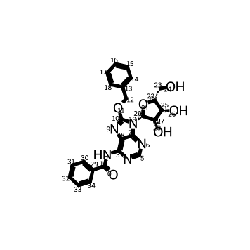 O=C(Nc1ncnc2c1nc(OCc1ccccc1)n2[C@@H]1O[C@H](CO)[C@@H](O)[C@H]1O)c1ccccc1